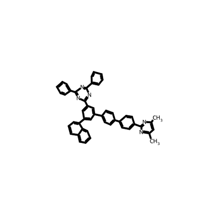 Cc1cc(C)nc(-c2ccc(-c3ccc(-c4cc(-c5nc(-c6ccccc6)nc(-c6ccccc6)n5)cc(-c5cccc6ccccc56)c4)cc3)cc2)n1